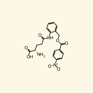 N[C@@H](CCC(=O)Nc1ccccc1COC(=O)c1ccc([N+](=O)[O-])cc1)C(=O)O